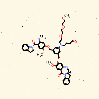 C=Nc1cc(OCc2cc(COc3cc4c(cc3OC)C(=O)N3c5ccccc5C[C@H]3C=N4)cc(N(CCCC=O)CCOCCOCCOC)c2)c(OC)cc1C(=O)N1CCc2ccccc21